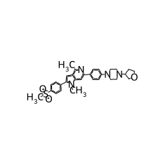 Cc1nc(-c2ccc(N3CCN(C4CCOC4)CC3)cc2)cc2c1cc(-c1ccc(S(C)(=O)=O)cc1)n2C